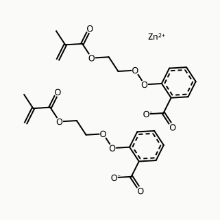 C=C(C)C(=O)OCCOOc1ccccc1C(=O)[O-].C=C(C)C(=O)OCCOOc1ccccc1C(=O)[O-].[Zn+2]